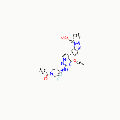 COc1nc(N[C@@H]2CCN(C(C)=O)CC2(F)F)nn2ccc(-c3ccc4nnn([C@@H](C)CO)c4c3)c12